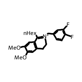 CCCCCCC1=[N+](Cc2ccc(F)c(F)c2)CCc2cc(OC)c(OC)cc21